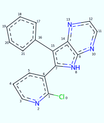 Clc1ncccc1-c1[nH]c2nccnc2c1-c1ccccc1